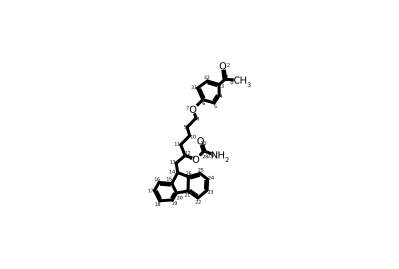 CC(=O)c1ccc(OCCCCC(CC2c3ccccc3-c3ccccc32)OC(N)=O)cc1